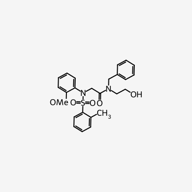 COc1ccccc1N(CC(=O)N(CCO)Cc1ccccc1)S(=O)(=O)c1ccccc1C